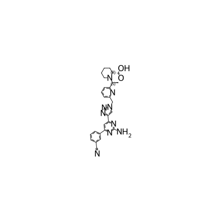 C[C@@H](c1cccc(Cn2cc(-c3cc(-c4cccc(C#N)c4)nc(N)n3)nn2)n1)N1CCCC[C@@H]1C(=O)O